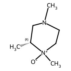 C[C@@H]1CN(C)CC[N+]1(C)[O-]